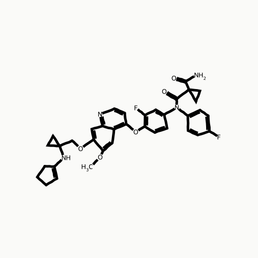 COc1cc2c(Oc3ccc(N(C(=O)C4(C(N)=O)CC4)c4ccc(F)cc4)cc3F)ccnc2cc1OCC1(NC2=CCCC2)CC1